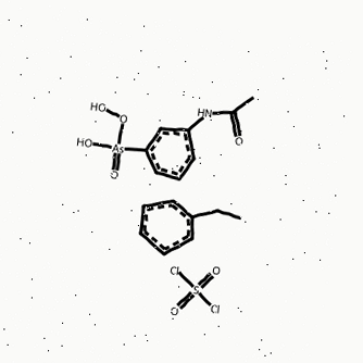 CC(=O)Nc1cccc([As](=O)(O)OO)c1.CCc1ccccc1.O=S(=O)(Cl)Cl